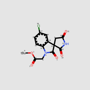 CC(C)(C)OC(=O)CN1C(=O)C2(CC(=O)NC2=O)c2cc(Cl)ccc21